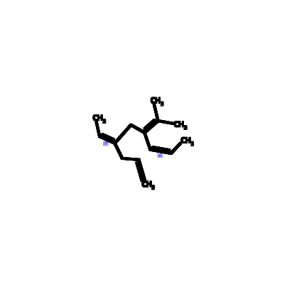 C=CC/C(=C/C)CC(/C=C\C)=C(C)C